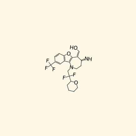 N=C1CCN(CC(F)(F)C2CCCCO2)c2c(oc3ccc(C(F)(F)F)cc23)/C1=C\O